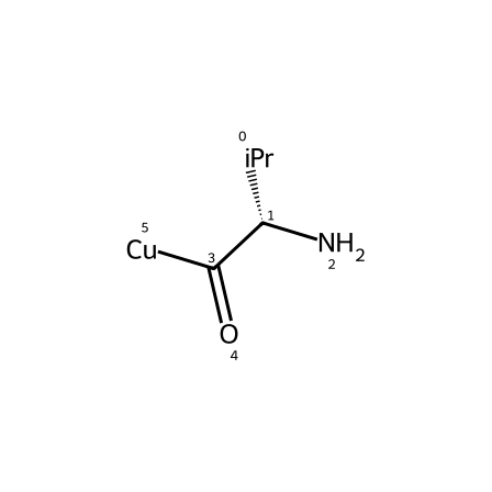 CC(C)[C@H](N)[C](=O)[Cu]